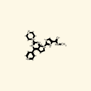 CNC(=O)c1csc(N2CCc3c(-c4ccncc4)nc(N4CCOCC4)nc32)n1